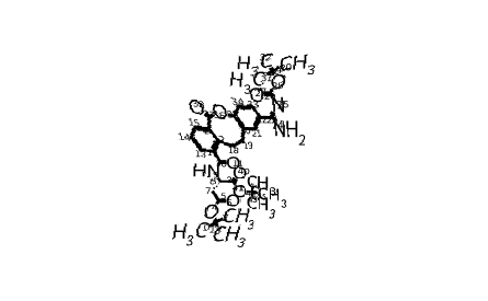 CC(C)(C)OC(=O)C[C@H](NC(=O)c1cccc2c1CCc1cc(/C(N)=N\C(=O)OC(C)(C)C)ccc1OC2=O)C(=O)OC(C)(C)C